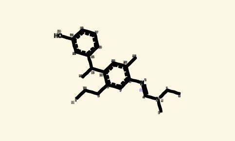 CCN(C)/C=N/c1cc(CCI)c(C(C)c2cccc(O)c2)cc1C